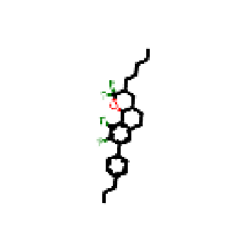 CCCCCC1CC2CCc3cc(-c4ccc(CCC)cc4)c(F)c(F)c3C2OC1(F)F